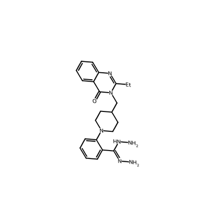 CCc1nc2ccccc2c(=O)n1CC1CCN(c2ccccc2/C(=N/N)NN)CC1